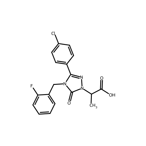 CC(C(=O)O)n1nc(-c2ccc(Cl)cc2)n(Cc2ccccc2F)c1=O